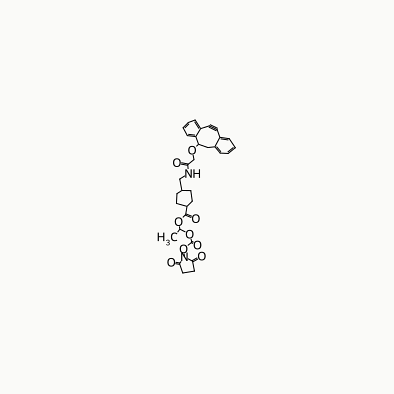 CC(OC(=O)ON1C(=O)CCC1=O)OC(=O)C1CCC(CNC(=O)COC2Cc3ccccc3C#Cc3ccccc32)CC1